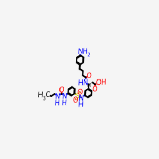 CCCNC(=O)Nc1cccc(S(=O)(=O)Nc2cccc([C@@H](CC(=O)O)NC(=O)CCCc3ccc(N)cc3)c2)c1